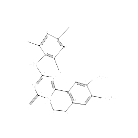 COc1cc2c(cc1OC)-c1nc(Nc3c(C)cc(C)cc3C)nc(=O)n1CC2